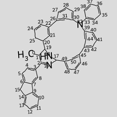 CC1C(c2ccc3c(c2)-c2ccccc2C3)=NC2NC1C1C=C(C=CC1)c1cccc(c1)N(c1ccccc1)c1cccc(c1)-c1cccc2c1